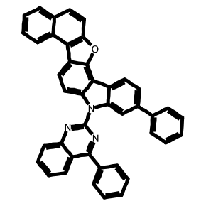 c1ccc(-c2ccc3c4c5oc6ccc7ccccc7c6c5ccc4n(-c4nc(-c5ccccc5)c5ccccc5n4)c3c2)cc1